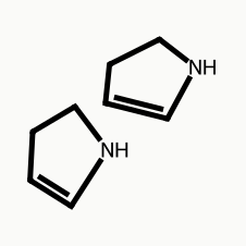 C1=CNCC1.C1=CNCC1